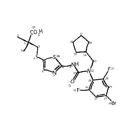 CC(C)(CSc1cnc(NC(=O)N(CC2CCCC2)c2c(F)cc(Br)cc2F)s1)C(=O)O